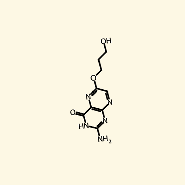 Nc1nc2ncc(OCCCO)nc2c(=O)[nH]1